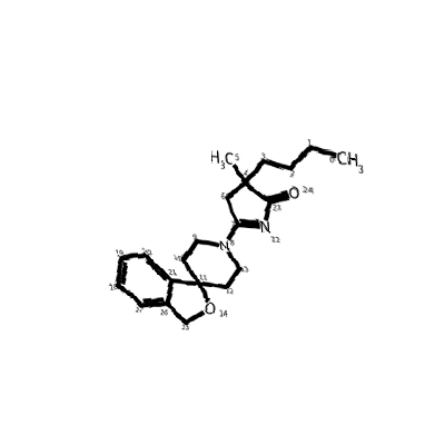 CCCCC1(C)CC(N2CCC3(CC2)OCc2ccccc23)=NC1=O